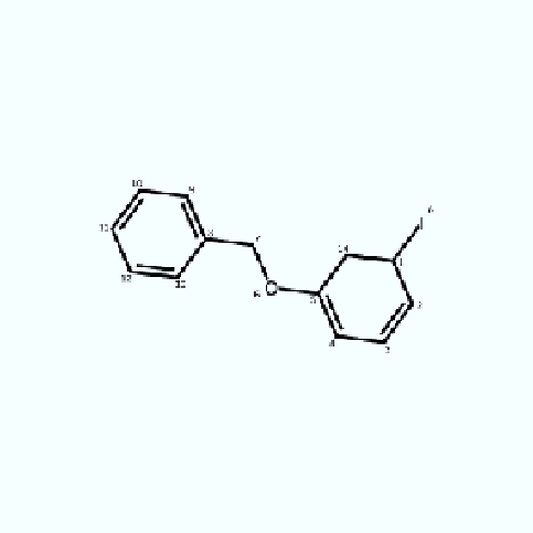 IC1C=CC=C(OCc2ccccc2)C1